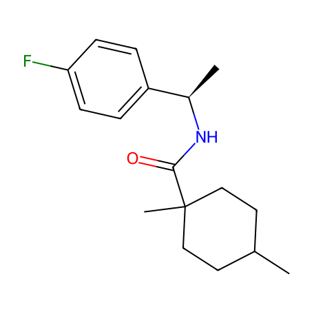 CC1CCC(C)(C(=O)N[C@H](C)c2ccc(F)cc2)CC1